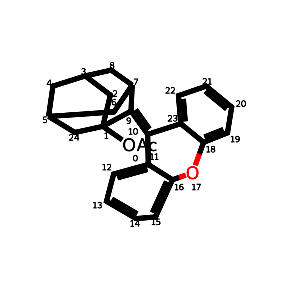 CC(=O)OC12CC3CC(CC(C3)C1=C1c3ccccc3Oc3ccccc31)C2